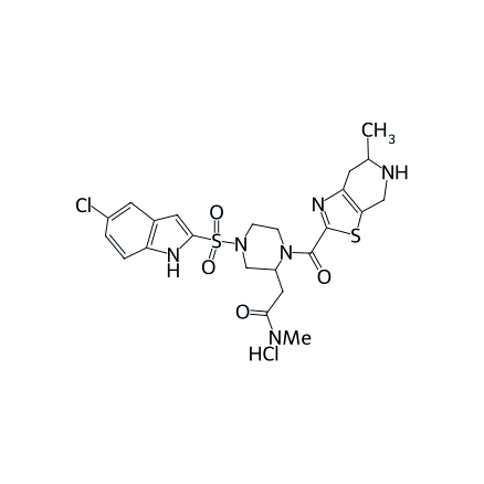 CNC(=O)CC1CN(S(=O)(=O)c2cc3cc(Cl)ccc3[nH]2)CCN1C(=O)c1nc2c(s1)CNC(C)C2.Cl